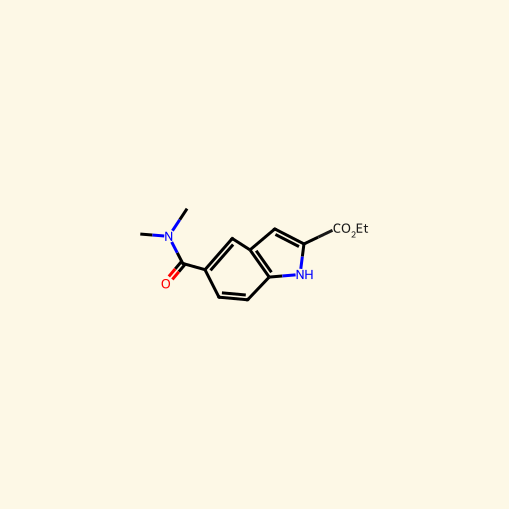 CCOC(=O)c1cc2cc(C(=O)N(C)C)ccc2[nH]1